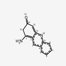 NC1=c2cc3ccccc3nc2=CC(=O)C1